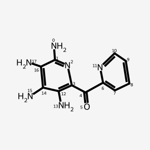 Nc1nc(C(=O)c2ccccn2)c(N)c(N)c1N